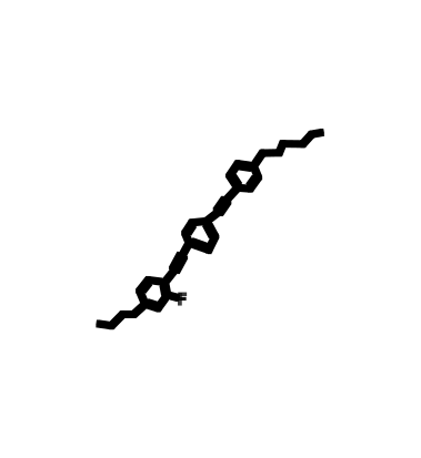 CCCCCCc1ccc(C#Cc2ccc(C#Cc3ccc(CCCC)cc3F)cc2)cc1